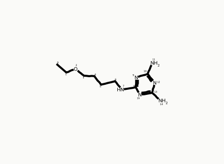 CCOCCCCNc1nc(N)nc(N)n1